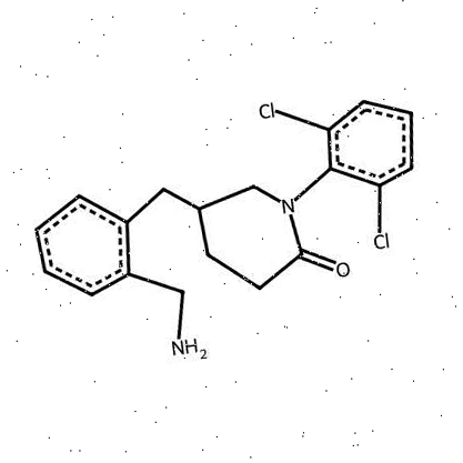 NCc1ccccc1CC1CCC(=O)N(c2c(Cl)cccc2Cl)C1